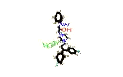 Cl.Cl.OC(CNc1ccccc1)CN1CCN(CCC(c2ccc(F)cc2)c2ccc(F)cc2)CC1